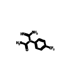 N=C(N)N(C(N)=O)c1ccc(C(F)(F)F)cc1